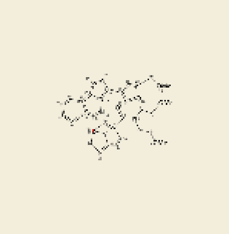 COCCN(CCOC)C(=O)C1=C/CC/N=C(COc2nn3c(-c4cc(COC)on4)nnc3c3ccccc23)/C=C\1